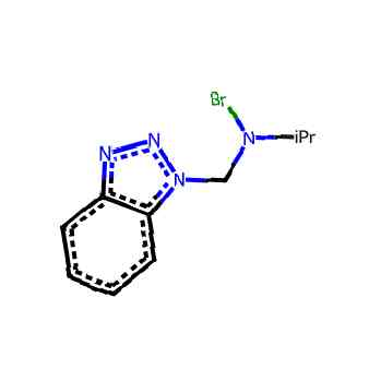 CC(C)N(Br)Cn1nnc2ccccc21